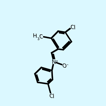 Cc1cc(Cl)ccc1C=[N+]([O-])c1cccc(Cl)c1